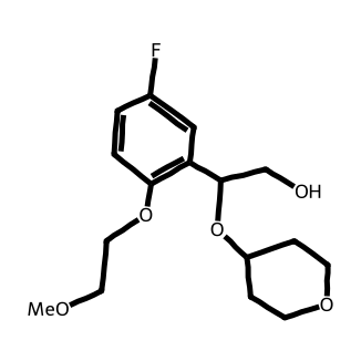 COCCOc1ccc(F)cc1C(CO)OC1CCOCC1